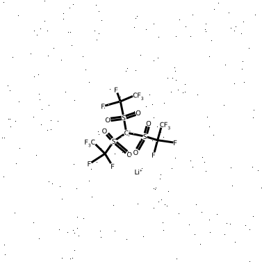 O=S(=O)([C-](S(=O)(=O)C(F)(F)C(F)(F)F)S(=O)(=O)C(F)(F)C(F)(F)F)C(F)(F)C(F)(F)F.[Li+]